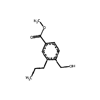 CCCc1cc(C(=O)OC)ccc1CO